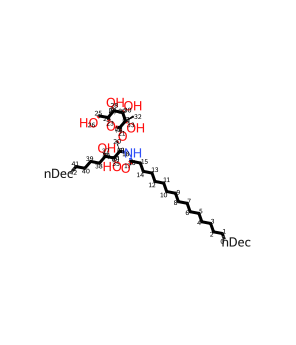 CCCCCCCCCCCCCCCCCCCCCCCCCC(=O)N[C@@H](CO[C@H]1OC(CO)[C@H](O)C(O)[C@]1(C)O)[C@H](O)[C@H](O)CCCCCCCCCCCCCC